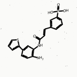 Nc1ccc(-c2cccs2)cc1NC(=O)C=Cc1cccc(P(=O)(O)O)c1